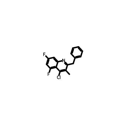 Cc1c(Cc2ccccc2)nc2cc(F)cc(F)c2c1Cl